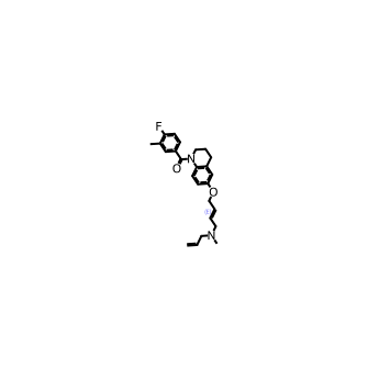 C=CCN(C)C/C=C/COc1ccc2c(c1)CCCN2C(=O)c1ccc(F)c(C)c1